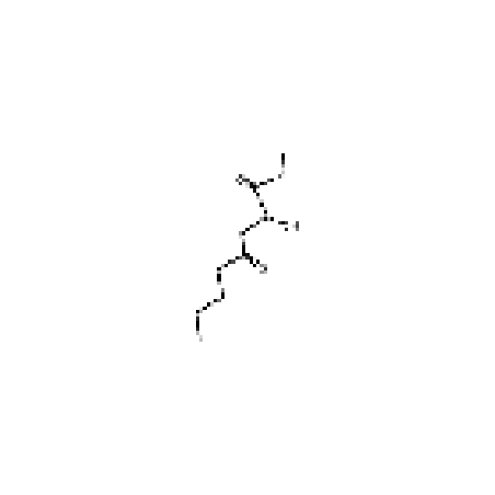 CCCCC(=O)CC(S)C(=O)OC